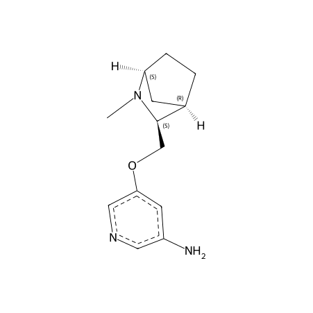 CN1[C@H]2CC[C@H](C2)[C@H]1COc1cncc(N)c1